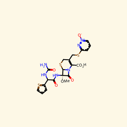 CO[C@@]1(NC(=O)C(NC(N)=O)c2cccs2)C(=O)N2C(C(=O)O)=C(CSc3ccc[n+]([O-])n3)CSC21